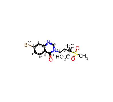 C[C@@](CCn1cnc2cc(Br)ccc2c1=O)(C(=O)O)S(C)(=O)=O